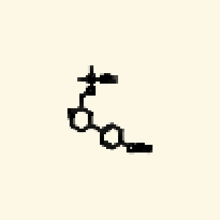 COc1ccc(C2=CC(CO[Si](C)(C)C(C)(C)C)N=CC2)cc1